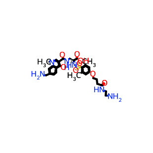 Cc1cc(OCCCC(=O)NCCN)cc(C)c1S(=O)(=O)N[C@@H](CNC(=O)c1cn(C)c2cc(CN)ccc2c1=O)C(=O)O